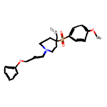 CCCCOc1ccc(S(=O)(=O)C2(C(=O)O)CCN(CCCOc3ccccc3)CC2)cc1